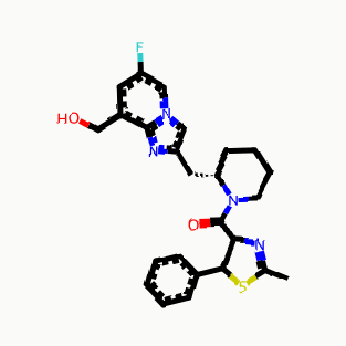 CC1=NC(C(=O)N2CCCC[C@H]2Cc2cn3cc(F)cc(CO)c3n2)C(c2ccccc2)S1